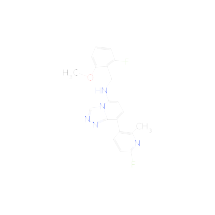 COc1cccc(F)c1CNc1ccc(-c2ccc(F)nc2C)c2nncn12